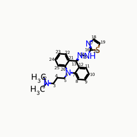 CN(C)CCCn1c2ccccc2c(=NNc2nccs2)c2ccccc21